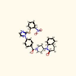 O=C(c1ccc(-n2ccnc2Sc2ccccc2[N+](=O)[O-])cc1)N1CCC(N2C(=O)CCc3ccccc32)CC1